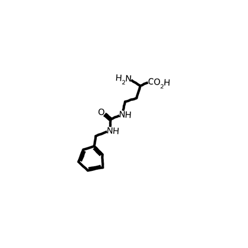 NC(CCNC(=O)NCc1ccccc1)C(=O)O